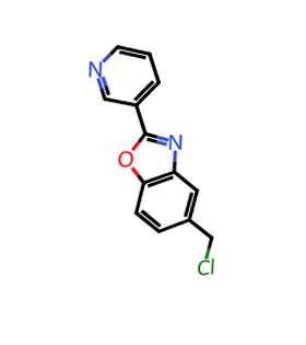 ClCc1ccc2oc(-c3cccnc3)nc2c1